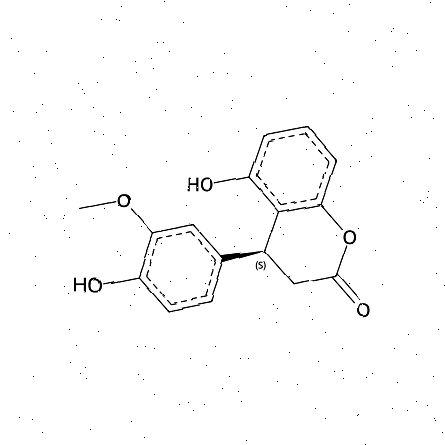 COc1cc([C@@H]2CC(=O)Oc3cccc(O)c32)ccc1O